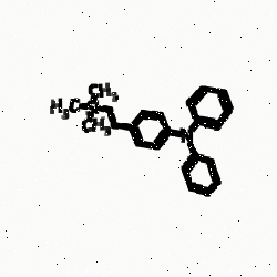 C[Si](C)(C)CCc1ccc(N(c2ccccc2)c2ccccc2)cc1